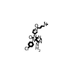 CN(C)C/C=C/C(=O)N1CCC(n2c(=O)n(-c3ccc(Cl)cc3)c3c(N)ncnc32)C1